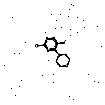 Clc1ncc(I)c(N2CCOCC2)n1